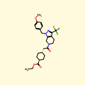 CCOC(=O)[C@H]1CC[C@H](CC(=O)N2CCc3c(C(F)(F)F)nn(Cc4ccc(OC)cc4)c3C2)CC1